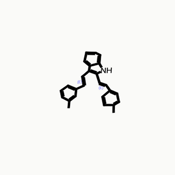 Cc1ccc(/C=C/c2[nH]c3ccccc3c2/C=C/c2cccc(C)c2)cc1